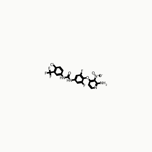 Nc1nccc(Oc2c(F)cc(NC(=O)Nc3ccc(Cl)c(C(F)(F)F)c3)cc2F)c1[N+](=O)[O-]